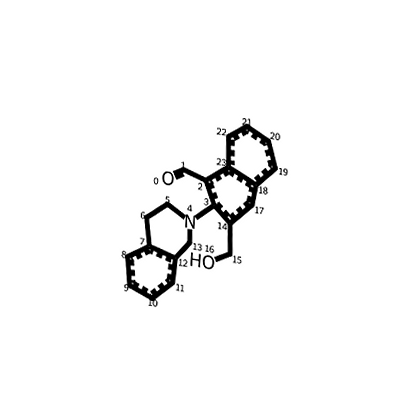 O=Cc1c(N2CCc3ccccc3C2)c(CO)cc2ccccc12